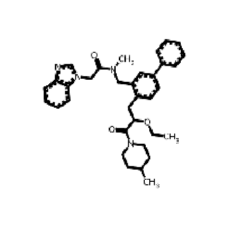 CCOC(Cc1ccc(-c2ccccc2)cc1CN(C)C(=O)Cn1cnc2ccccc21)C(=O)N1CCC(C)CC1